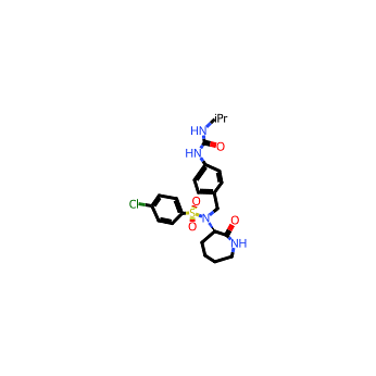 CC(C)NC(=O)Nc1ccc(CN([C@@H]2CCCCNC2=O)S(=O)(=O)c2ccc(Cl)cc2)cc1